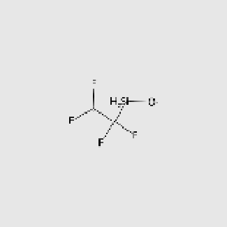 [O][SiH2]C(F)(F)[C](F)F